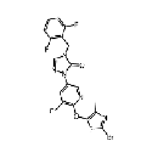 Cc1nc(Br)sc1Oc1ncc(-n2ncn(Cc3c(F)cccc3F)c2=O)cc1Cl